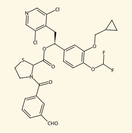 O=Cc1cccc(C(=O)N2CCSC2C(=O)O[C@@H](Cc2c(Cl)cncc2Cl)c2ccc(OC(F)F)c(OCC3CC3)c2)c1